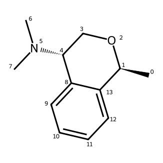 C[C@@H]1OC[C@@H](N(C)C)c2ccccc21